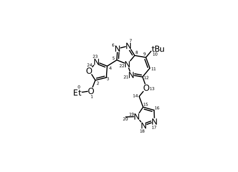 CCOc1cc(-c2nnc3c(C(C)(C)C)cc(OCc4cnnn4C)nn23)no1